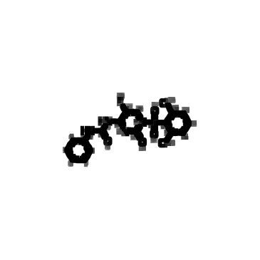 O=C(Nc1ccccc1)Nc1nc(=O)n(S(=O)(=O)c2c(Cl)cccc2Cl)cc1F